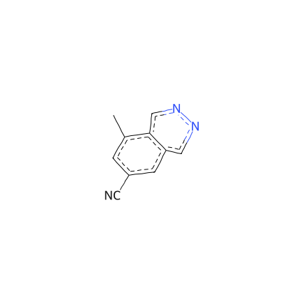 Cc1cc(C#N)cc2cnncc12